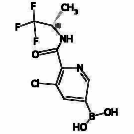 C[C@H](NC(=O)c1ncc(B(O)O)cc1Cl)C(F)(F)F